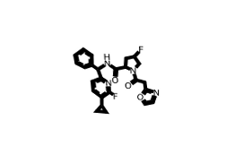 O=C(NC(c1ccccc1)c1ccc(C2CC2)c(F)n1)C1CC(F)CN1C(=O)Cc1ncco1